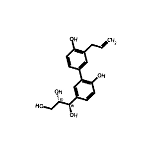 C=CCc1cc(-c2cc([C@@H](O)[C@@H](O)CO)ccc2O)ccc1O